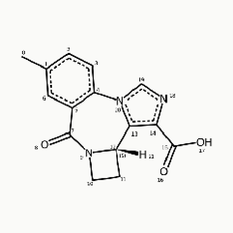 Cc1ccc2c(c1)C(=O)N1CC[C@H]1c1c(C(=O)O)ncn1-2